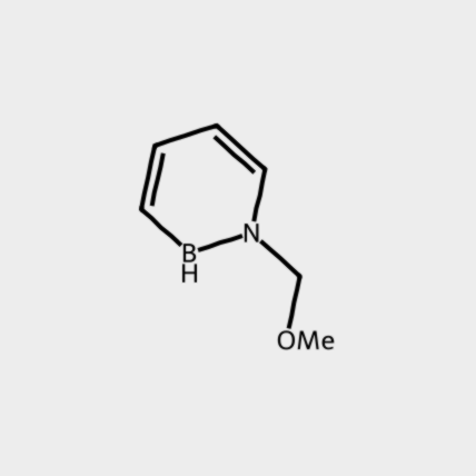 COCN1BC=CC=C1